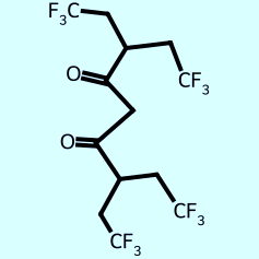 O=C(CC(=O)C(CC(F)(F)F)CC(F)(F)F)C(CC(F)(F)F)CC(F)(F)F